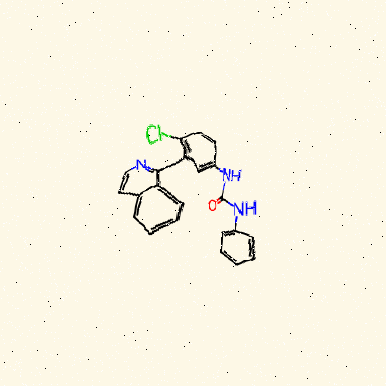 O=C(Nc1ccccc1)Nc1ccc(Cl)c(-c2nccc3ccccc23)c1